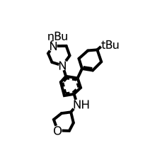 CCCCN1CCN(c2ccc(NC3CCOCC3)cc2C2=CCC(C(C)(C)C)CC2)CC1